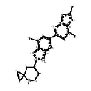 Cc1cn2nc(-c3cc(F)c4nn(C5CCNC6(CC6)C5)nc4c3)cc(C)c2n1